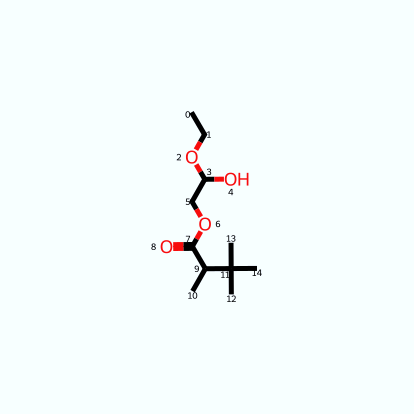 CCOC(O)COC(=O)C(C)C(C)(C)C